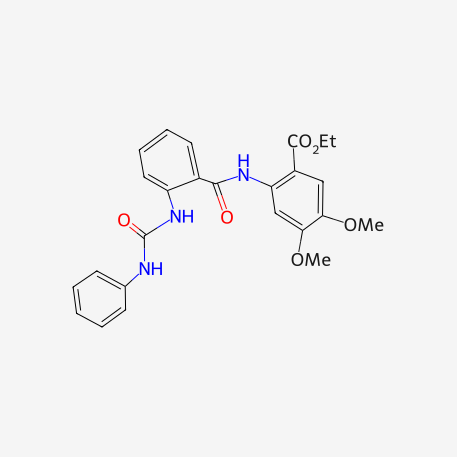 CCOC(=O)c1cc(OC)c(OC)cc1NC(=O)c1ccccc1NC(=O)Nc1ccccc1